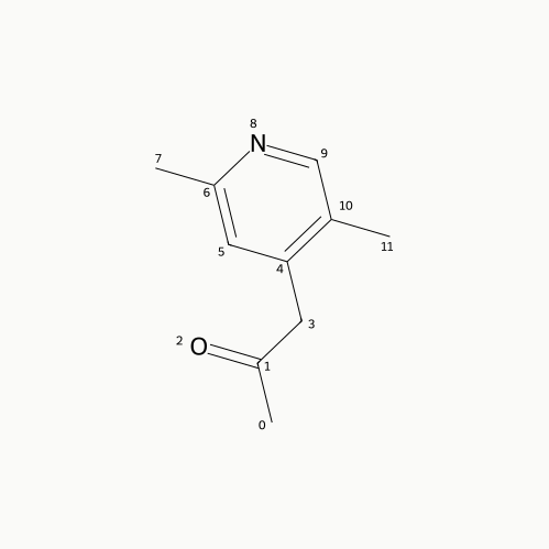 CC(=O)Cc1cc(C)ncc1C